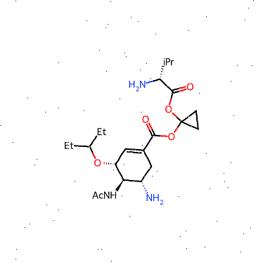 CCC(CC)O[C@@H]1C=C(C(=O)OC2(OC(=O)[C@H](N)C(C)C)CC2)C[C@H](N)[C@H]1NC(C)=O